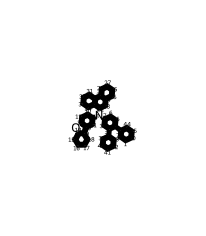 c1ccc(-c2ccc(N(c3ccc4oc5ccccc5c4c3)c3cc4ccccc4c4ccccc34)cc2-c2ccccc2)cc1